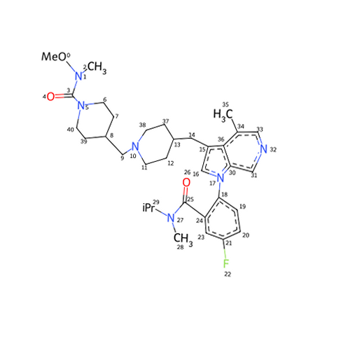 CON(C)C(=O)N1CCC(CN2CCC(Cc3cn(-c4ccc(F)cc4C(=O)N(C)C(C)C)c4cncc(C)c34)CC2)CC1